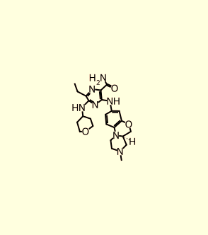 CCc1nc(C(N)=O)c(Nc2ccc3c(c2)OC[C@H]2CN(C)CCN32)nc1NC1CCOCC1